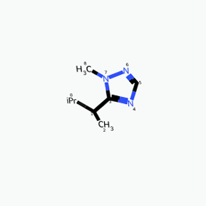 CC(C)C(C)c1ncnn1C